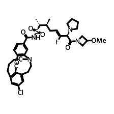 COC1CN(C(=O)[C@@H](/C(F)=C/C[C@H](C)[C@@H](C)S(=O)(=O)NC(=O)c2ccc3c(c2)N2CCCCc4cc(Cl)cc(c4CO3)CC2)N2CCCC2)C1